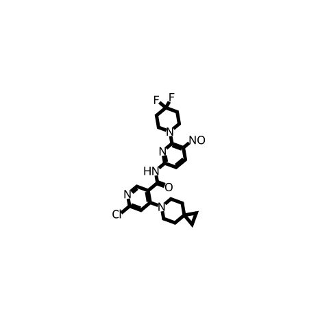 O=Nc1ccc(NC(=O)c2cnc(Cl)cc2N2CCC3(CC2)CC3)nc1N1CCC(F)(F)CC1